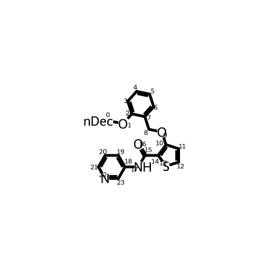 CCCCCCCCCCOc1ccccc1COc1ccsc1C(=O)Nc1cccnc1